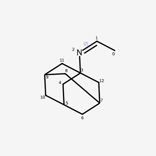 C/C=N\C12CC3CC(CC(C3)C1)C2